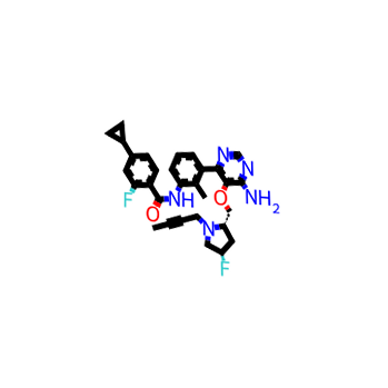 CC#CCN1C[C@H](F)C[C@H]1COc1c(N)ncnc1-c1cccc(NC(=O)c2ccc(C3CC3)cc2F)c1C